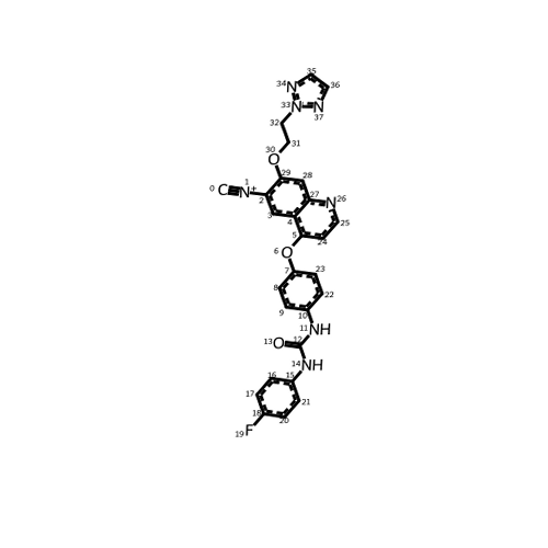 [C-]#[N+]c1cc2c(Oc3ccc(NC(=O)Nc4ccc(F)cc4)cc3)ccnc2cc1OCCn1nccn1